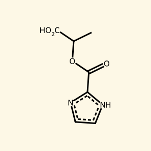 CC(OC(=O)c1ncc[nH]1)C(=O)O